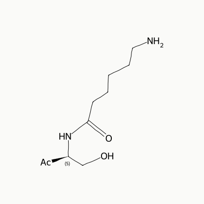 CC(=O)[C@H](CO)NC(=O)CCCCCN